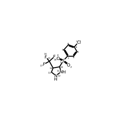 O=S(=O)(c1ccc(Cl)cc1)C1NNCC1C(F)(F)F